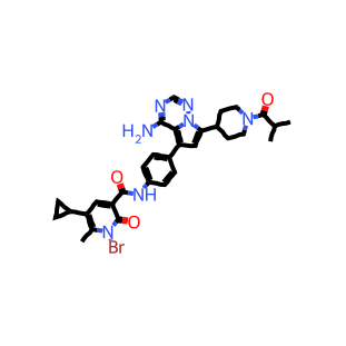 Cc1c(C2CC2)cc(C(=O)Nc2ccc(-c3cc(C4CCN(C(=O)C(C)C)CC4)n4ncnc(N)c34)cc2)c(=O)n1Br